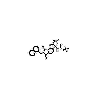 CCC[C@@](NC(=O)OC(C)(C)C)(C(N)=O)c1ccc2c(c1)C(=O)N(Cc1cccc3ccccc13)C2=O